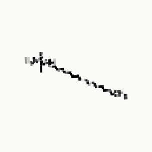 CCCCCCCCCCCCCCCCCCNNC(N)=S